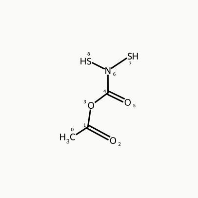 CC(=O)OC(=O)N(S)S